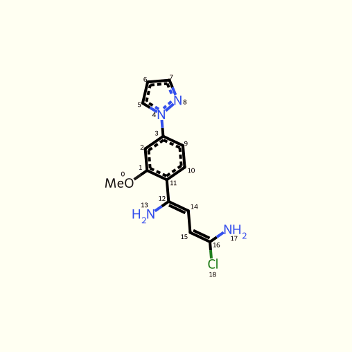 COc1cc(-n2cccn2)ccc1/C(N)=C/C=C(\N)Cl